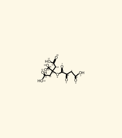 O=C(O)CC(=O)C(=O)OC(CC(=O)O)(CC(=O)O)C(=O)O